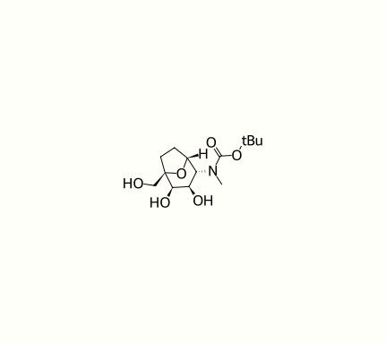 CN(C(=O)OC(C)(C)C)[C@@H]1[C@@H](O)[C@@H](O)[C@]2(CO)CC[C@H]1O2